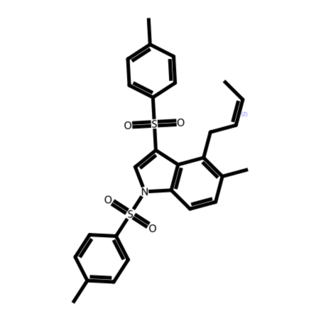 C/C=C\Cc1c(C)ccc2c1c(S(=O)(=O)c1ccc(C)cc1)cn2S(=O)(=O)c1ccc(C)cc1